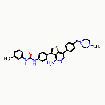 Cc1cccc(NC(=O)Nc2ccc(-c3csc4c(-c5ccc(CN6CCN(C)CC6)cc5)cnc(N)c34)cc2)c1